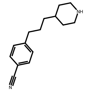 N#Cc1ccc(CCCC2CCNCC2)cc1